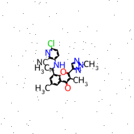 Cc1cc([C@@H](C)Nc2ccc(Cl)nc2C#N)c2oc(-c3cnn(C)n3)c(C)c(=O)c2c1